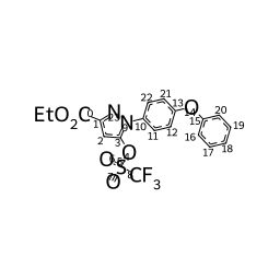 CCOC(=O)c1cc(OS(=O)(=O)C(F)(F)F)n(-c2ccc(Oc3ccccc3)cc2)n1